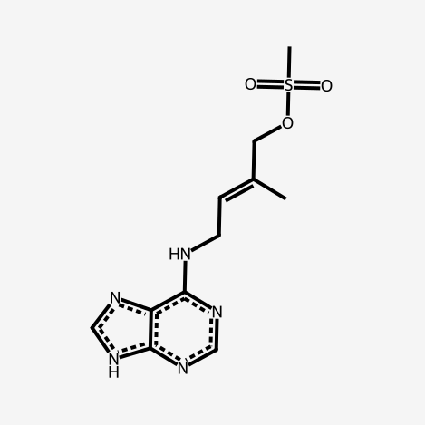 C/C(=C\CNc1ncnc2[nH]cnc12)COS(C)(=O)=O